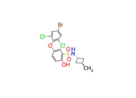 C[C@H]1C[C@H](NS(=O)(=O)c2cc(Oc3c(Cl)cc(Br)cc3Cl)ccc2O)C1